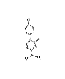 CN(N)c1ncn(-c2ccc(Cl)cc2)c(=O)n1